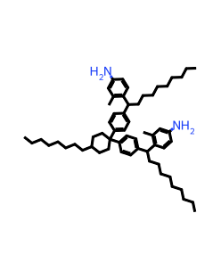 CCCCCCCCCC(c1ccc(C2(c3ccc(C(CCCCCCCCC)c4ccc(N)cc4C)cc3)CCC(CCCCCCCC)CC2)cc1)c1ccc(N)cc1C